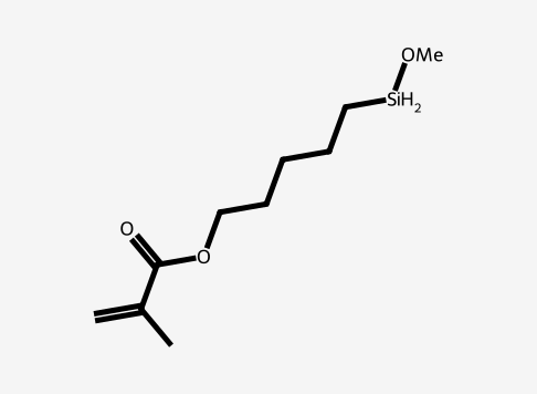 C=C(C)C(=O)OCCCCC[SiH2]OC